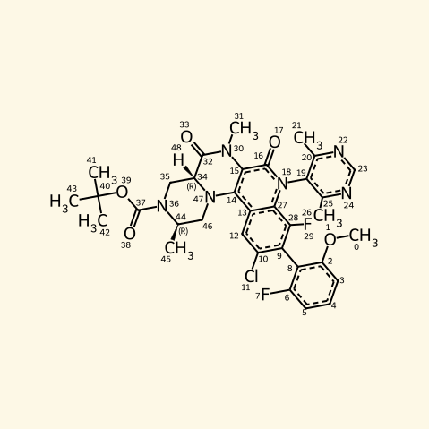 COc1cccc(F)c1-c1c(Cl)cc2c3c(c(=O)n(-c4c(C)ncnc4C)c2c1F)N(C)C(=O)[C@H]1CN(C(=O)OC(C)(C)C)[C@H](C)CN31